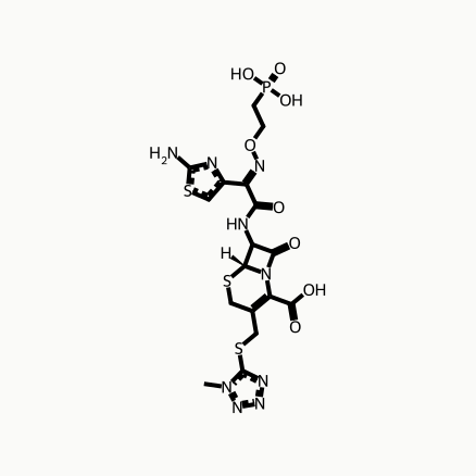 Cn1nnnc1SCC1=C(C(=O)O)N2C(=O)C(NC(=O)/C(=N/OCCP(=O)(O)O)c3csc(N)n3)[C@H]2SC1